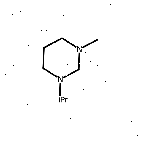 CC(C)N1CCCN(C)C1